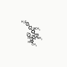 COc1cc(Nc2nc(NC3CCOCC3)c(-c3cc(C)[nH]n3)nc2C(N)=O)ccc1N1CCC(N2CCN(C)CC2)CC1